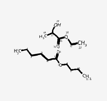 CCCCCC(=O)OCCCC.CCOC(=O)C(C)O